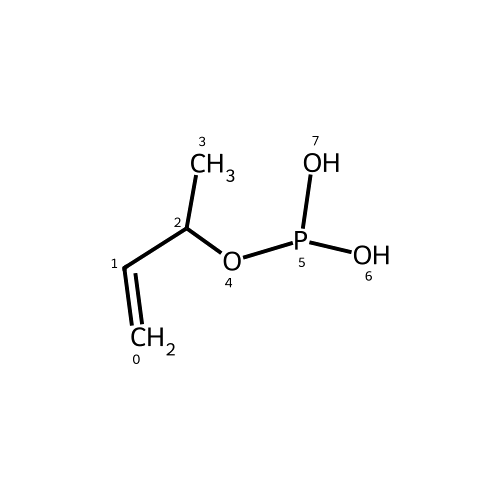 C=CC(C)OP(O)O